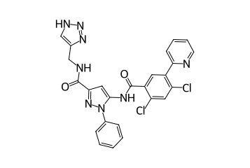 O=C(NCc1c[nH]nn1)c1cc(NC(=O)c2cc(-c3ccccn3)c(Cl)cc2Cl)n(-c2ccccc2)n1